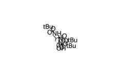 CC(C)(C)OC(=O)NCC(CNC(=O)OC(C)(C)C)C[C@@H](CO)NC(=O)OC(C)(C)C